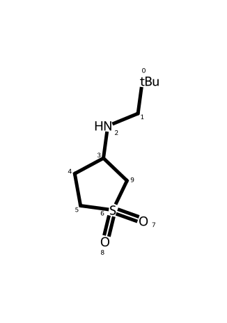 CC(C)(C)CNC1CCS(=O)(=O)C1